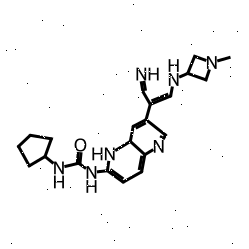 CN1CC(N/C=C(\C=N)C2=CC3NC(NC(=O)NC4CCCC4)=CC=C3N=C2)C1